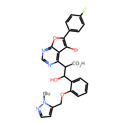 CC(C)(C)n1nccc1COc1ccccc1C(O)C(C(=O)O)c1ncnc2oc(-c3ccc(F)cc3)c(Br)c12